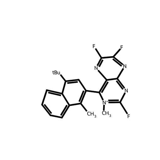 Cc1c(-c2c3nc(F)c(F)nc3nc(F)[n+]2C)cc(C(C)(C)C)c2ccccc12